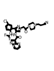 N#CCCN1CCN(C(=O)Cn2cc(NC(=O)c3cnn4cccnc34)c(-c3cc(Cl)ccc3OC(F)F)n2)CC1